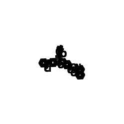 CN(C(=O)OC(C)(C)C)[C@@H](Cc1ccc(OS(=O)(=O)c2nccc3ccccc23)cc1)C(=O)N1CCN(c2ccccc2Cl)CC1